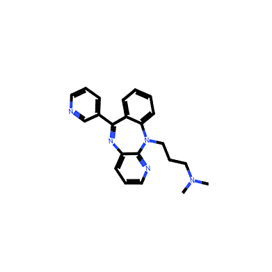 CN(C)CCCN1c2ccccc2C(c2cccnc2)=Nc2cccnc21